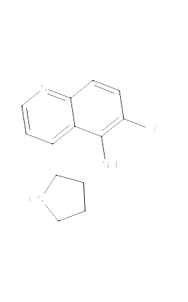 Cc1ccc2ncccc2c1N[C@@H]1CCNC1